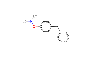 CCN(CC)Oc1ccc(Cc2ccccc2)cc1